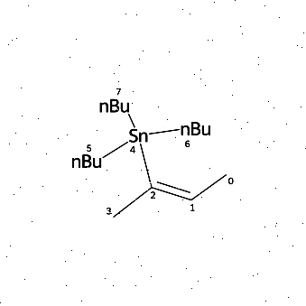 C/C=[C](/C)[Sn]([CH2]CCC)([CH2]CCC)[CH2]CCC